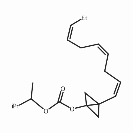 CC/C=C\C/C=C\C/C=C\C12CC1(OC(=O)OC(C)C(C)C)C2